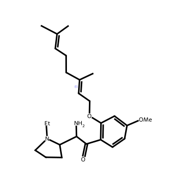 CCN1CCCC1C(N)C(=O)c1ccc(OC)cc1OC/C=C(\C)CCC=C(C)C